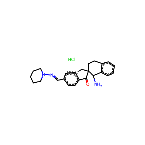 Cl.NC1c2ccccc2CCC1(CC(=O)O)C(=O)c1ccc(C=NN2CCCCC2)cc1